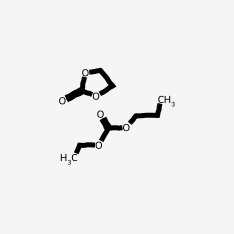 CCCOC(=O)OCC.O=C1OCCO1